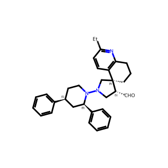 CCc1ccc2c(n1)CCC[C@]21CN(N2CC[C@H](c3ccccc3)C[C@@H]2c2ccccc2)C[C@H]1C=O